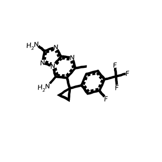 Cc1nc2nc(N)nn2c(N)c1C1(c2ccc(C(F)(F)F)c(F)c2)CC1